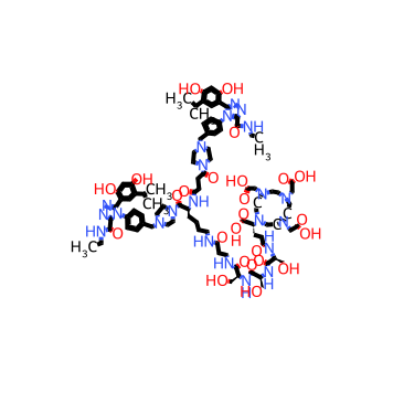 CCNC(=O)c1nnc(-c2cc(C(C)C)c(O)cc2O)n1-c1ccc(CN2CCN(C(=O)CCC(=O)N[C@@H](CCCCNC(=O)CCNC(=O)[C@H](CO)NC(=O)[C@H](CO)NC(=O)[C@H](CO)NC(=O)CC[C@H](C(=O)O)N3CCN(CC(=O)O)CCN(CC(=O)O)CCN(CC(=O)O)CC3)C(=O)N3CCN(Cc4ccc(-n5c(C(=O)NCC)nnc5-c5cc(C(C)C)c(O)cc5O)cc4)CC3)CC2)cc1